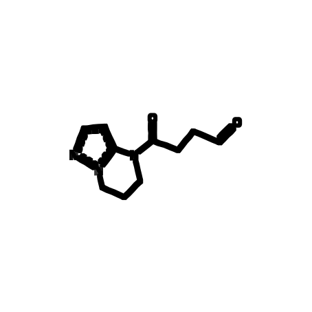 O=CCCC(=O)N1CCCn2nccc21